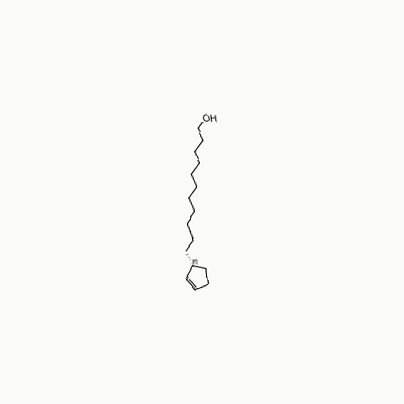 OCCCCCCCCCCC[C@H]1C=CCC1